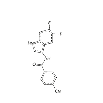 N#Cc1ccc(C(=O)Nc2c[nH]c3cc(F)c(F)cc23)cc1